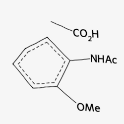 CC(=O)O.COc1ccccc1NC(C)=O